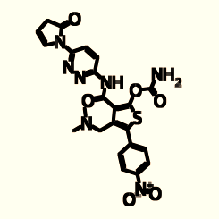 CN(C)Cc1c(-c2ccc([N+](=O)[O-])cc2)sc(OC(N)=O)c1C(=O)Nc1ccc(N2C=CCC2=O)nn1